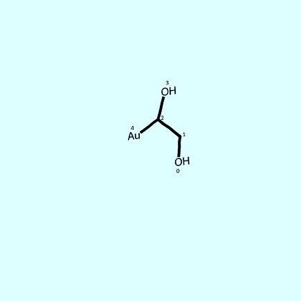 OC[CH](O)[Au]